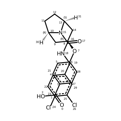 O=C(O)c1ccc(O[C@H]2C[C@H]3CC[C@@H](C2)N3C(=O)NCc2ccc(Cl)c(Cl)c2)cc1